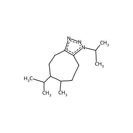 CC(C)C1CCc2nnn(C(C)C)c2CCC1C